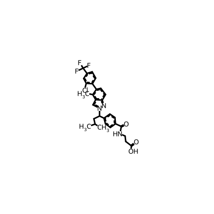 Cc1c(-c2ccc(C(F)(F)F)cc2Cl)ccc2nn(C(CC(C)C)c3ccc(C(=O)NCCC(=O)O)cc3)cc12